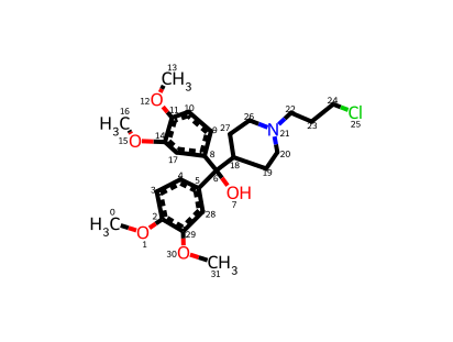 COc1ccc(C(O)(c2ccc(OC)c(OC)c2)C2CCN(CCCCl)CC2)cc1OC